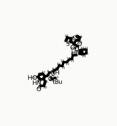 CC(C)(C)[Si](C)(C)OC(CNCCCCCCCCCCNC1C2CCC1C(OC(=O)C(O)(c1cccs1)c1cccs1)C2)c1ccc(O)c2[nH]c(=O)ccc12